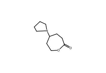 O=C1CCC(N2CCCC2)CCO1